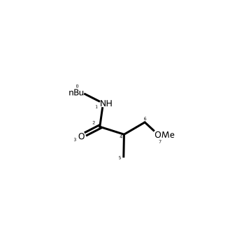 CCCCNC(=O)C(C)COC